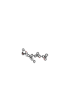 Cc1c2cccc1-c1cc(-c3ccc4c(c3)c3ccc(-c5ccc6c(c5)c5cccc7c8cc(-c9cc%10c%11ccccc%11n%11c%12ccccc%12c(c9)c%10%11)ccc8n6c75)c5c6cc(-c7ccccc7)ccc6n4c35)ccc1Cc1ccccc1-2